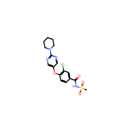 CS(=O)(=O)NC(=O)c1ccc(Oc2cnc(N3CCCCC3)nc2)c(Cl)c1